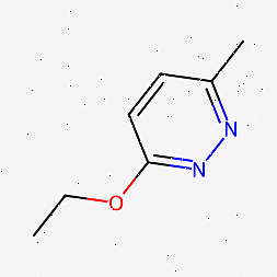 CCOc1ccc(C)nn1